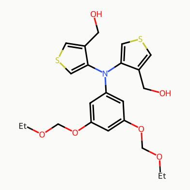 CCOCOc1cc(OCOCC)cc(N(c2cscc2CO)c2cscc2CO)c1